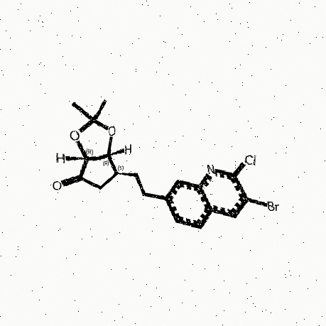 CC1(C)O[C@@H]2[C@@H](CCc3ccc4cc(Br)c(Cl)nc4c3)CC(=O)[C@@H]2O1